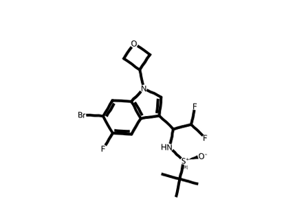 CC(C)(C)[S@+]([O-])NC(c1cn(C2COC2)c2cc(Br)c(F)cc12)C(F)F